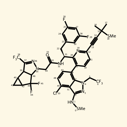 CSNc1nn(CC(F)(F)F)c2c(-c3ccc(C#CC(C)(C)SC)nc3[C@H](Cc3cc(F)cc(F)c3)NC(=O)CN3N=C(C(F)(F)F)C4C5CC5C(F)(F)C43)ccc(Cl)c12